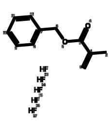 C=C(C)C(=O)OCc1ccccc1.F.F.F.F.F